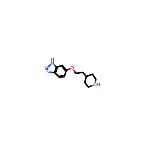 c1cc2nn[nH]c2cc1OCCC1CCNCC1